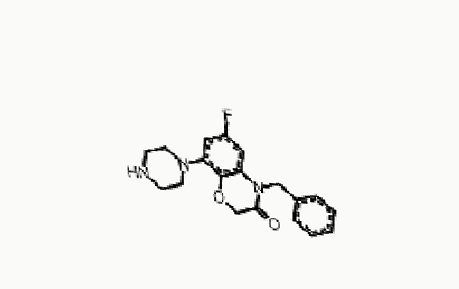 O=C1COc2c(N3CCNCC3)cc(F)cc2N1Cc1ccccc1